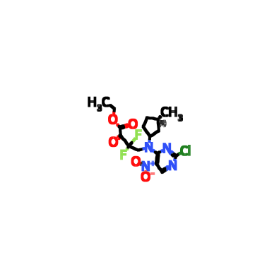 CCOC(=O)C(=O)C(F)(F)CN(c1nc(Cl)ncc1[N+](=O)[O-])C1CC[C@@H](C)C1